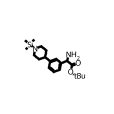 CC(C)(C)OC(=O)C(N)c1cccc(C2CCN([Si](C)(C)C)CC2)c1